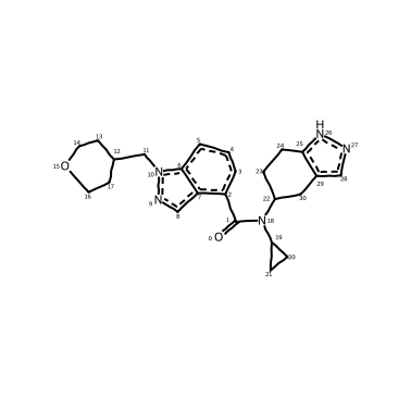 O=C(c1cccc2c1cnn2CC1CCOCC1)N(C1CC1)C1CCc2[nH]ncc2C1